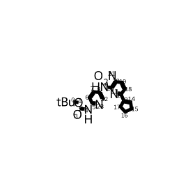 CC(C)(C)OC(=O)Nc1ccc(Nc2nc(C3=CCCC3)ccc2[N+](=O)[O-])cn1